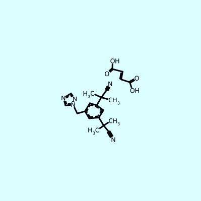 CC(C)(C#N)c1cc(Cn2cncn2)cc(C(C)(C)C#N)c1.O=C(O)/C=C/C(=O)O